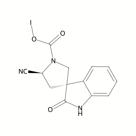 N#C[C@@H]1C[C@@]2(CN1C(=O)OI)C(=O)Nc1ccccc12